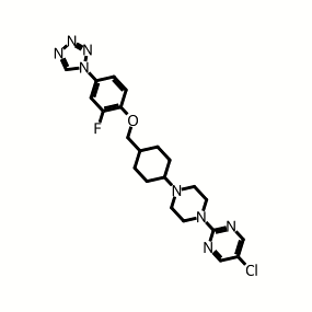 Fc1cc(-n2cnnn2)ccc1OCC1CCC(N2CCN(c3ncc(Cl)cn3)CC2)CC1